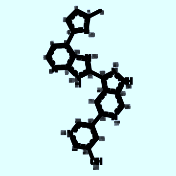 Cc1ccc(-c2ccnc3[nH]c(-c4n[nH]c5cnc(-c6cncc(O)c6)cc45)nc23)s1